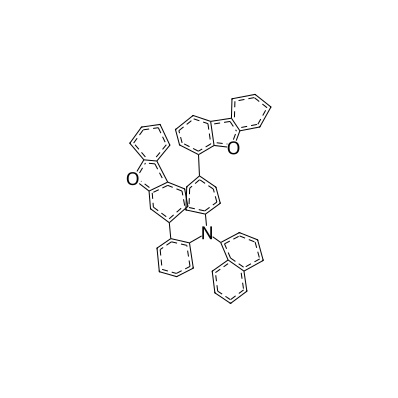 c1ccc(N(c2ccc(-c3cccc4c3oc3ccccc34)cc2)c2cccc3ccccc23)c(-c2ccc3c(c2)oc2ccccc23)c1